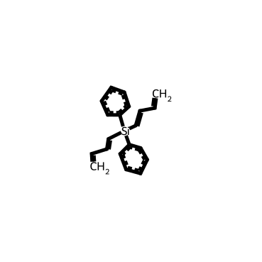 C=C/C=C/[Si](/C=C/C=C)(c1ccccc1)c1ccccc1